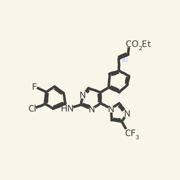 CCOC(=O)/C=C/c1cccc(-c2cnc(Nc3ccc(F)c(Cl)c3)nc2-n2cnc(C(F)(F)F)c2)c1